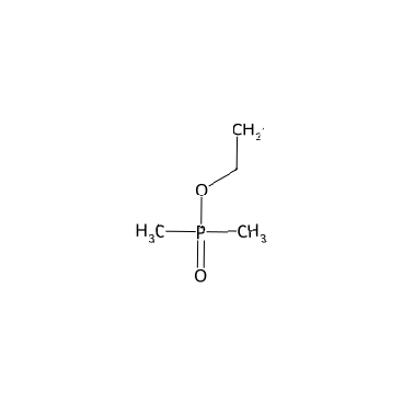 [CH2]COP(C)(C)=O